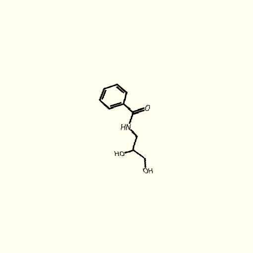 O=C(NCC(O)CO)c1ccccc1